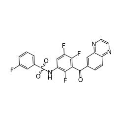 O=C(c1ccc2nccnc2c1)c1c(F)c(F)cc(NS(=O)(=O)c2cccc(F)c2)c1F